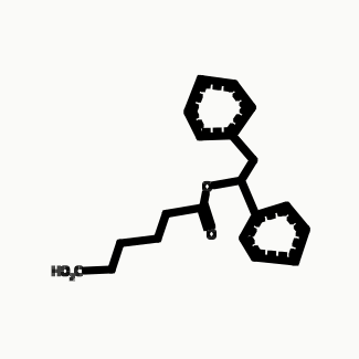 O=C(O)CCCCC(=O)OC(Cc1ccccc1)c1ccccc1